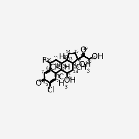 C[C@]12C=C(Cl)C(=O)C=C1C(F)C[C@H]1[C@@H]3CC[C@](O)(C(=O)CO)[C@@]3(C)CC(O)[C@@]12Cl